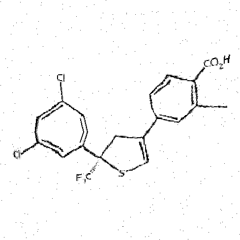 Cc1cc(C2=CS[C@](c3cc(Cl)cc(Cl)c3)(C(F)(F)F)C2)ccc1C(=O)O